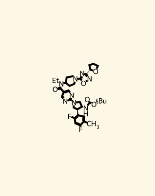 CCN(C(=O)c1cnc(N2C[C@H](NC(=O)OC(C)(C)C)[C@@H](c3cc(C)c(F)cc3F)C2)nc1)C1CCN(c2nc([C@@H]3CCCO3)no2)CC1